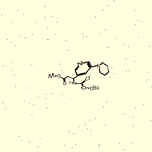 COC(=O)CC(NC(=O)OC(C)(C)C)c1cncc(N2CCCCC2)c1